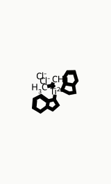 C[C](C)=[Ti+2]([CH]1CCC2CC=CC=C21)[CH]1CCC2CC=CC=C21.[Cl-].[Cl-]